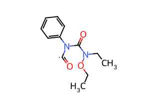 CCON(CC)C(=O)N([C]=O)c1ccccc1